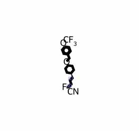 N#C/C(F)=C/C=C/[C@H]1CC[C@H](OCc2ccc(OC(F)(F)F)cc2)CC1